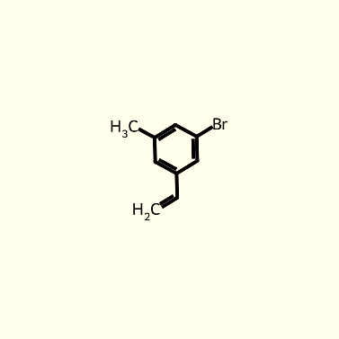 C=Cc1cc(C)cc(Br)c1